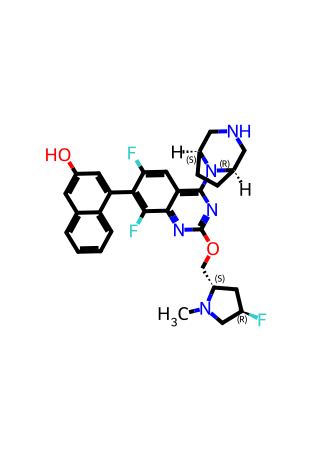 CN1C[C@H](F)C[C@H]1COc1nc(N2[C@@H]3CC[C@H]2CNC3)c2cc(F)c(-c3cc(O)cc4ccccc34)c(F)c2n1